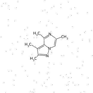 Cc1cn2nc(C)c(C)c2c(C)n1